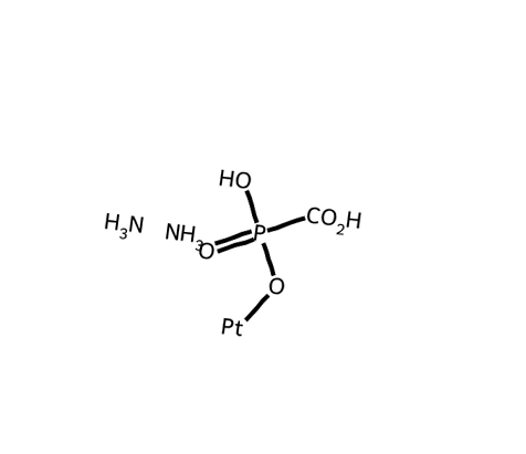 N.N.O=C(O)P(=O)(O)[O][Pt]